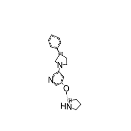 c1ccc([C@H]2CCN(c3cncc(OC[C@@H]4CCCN4)c3)C2)cc1